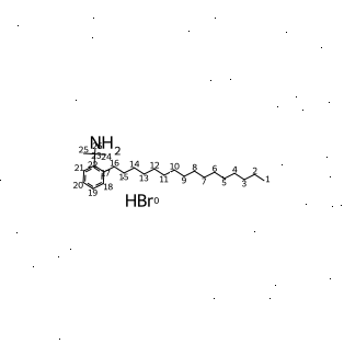 Br.CCCCCCCCCCCCCCCCc1ccccc1C(C)(C)N